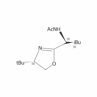 CC[C@H](C)[C@H](NC(C)=O)C1=N[C@@H](C(C)(C)C)CO1